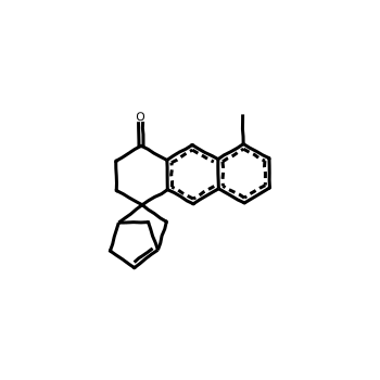 Cc1cccc2cc3c(cc12)C(=O)CCC31CC2=CCC1C2